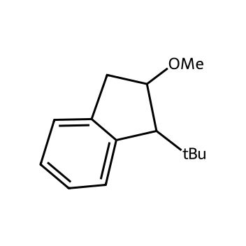 COC1Cc2ccccc2C1C(C)(C)C